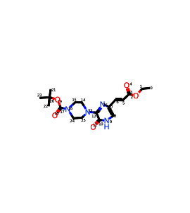 CCOC(=O)/C=C/c1c[nH]c(=O)c(N2CCN(C(=O)OC(C)(C)C)CC2)n1